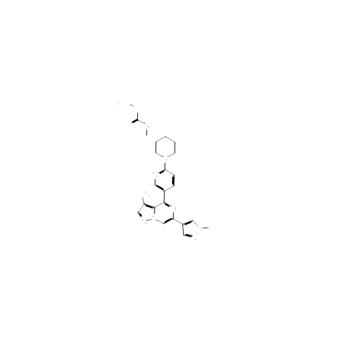 Cn1cc(-c2cn3ncc(C#N)c3c(-c3ccc(N4CCC[C@@H](CNC(=O)OC(C)(C)C)C4)nc3)n2)cn1